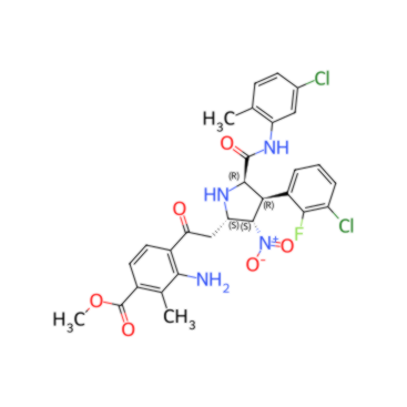 COC(=O)c1ccc(C(=O)C[C@@H]2N[C@@H](C(=O)Nc3cc(Cl)ccc3C)[C@@H](c3cccc(Cl)c3F)[C@@H]2[N+](=O)[O-])c(N)c1C